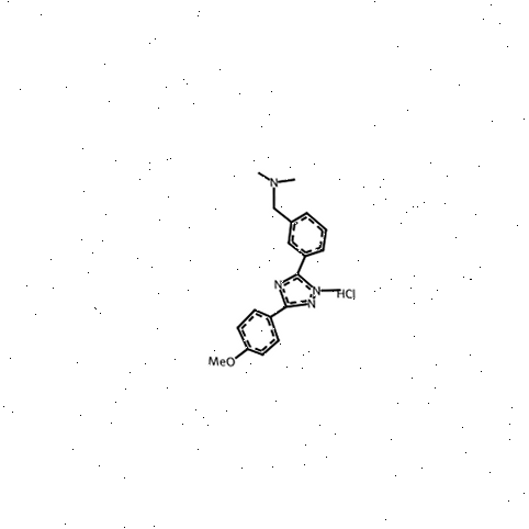 COc1ccc(-c2nc(-c3cccc(CN(C)C)c3)n(C)n2)cc1.Cl